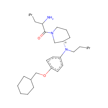 CC(C)CCN(c1ccc(OCC2CCCCC2)cc1)[C@H]1CCCN(C(=O)C(N)CC(C)C)C1